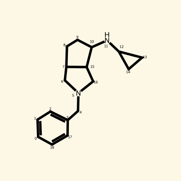 c1ccc(CN2CC3CCC(NC4CC4)C3C2)cc1